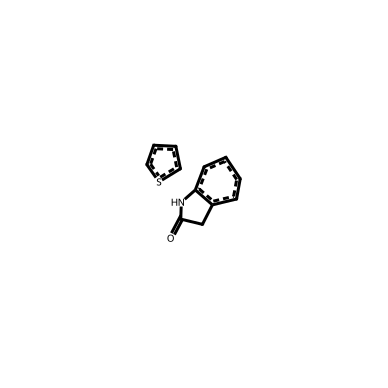 O=C1Cc2ccccc2N1.c1ccsc1